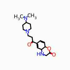 CN(C)C1CCN(CCC(=O)C2=CC3NCC(=O)OC3C=C2)CC1